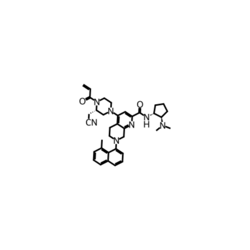 C=CC(=O)N1CCN(c2cc(C(=O)N[C@@H]3CCC[C@H]3N(C)C)nc3c2CCN(c2cccc4cccc(C)c24)C3)C[C@@H]1CC#N